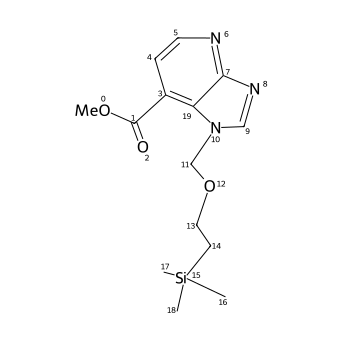 COC(=O)c1ccnc2ncn(COCC[Si](C)(C)C)c12